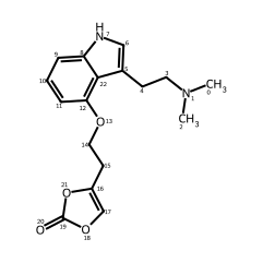 CN(C)CCc1c[nH]c2cccc(OCCc3coc(=O)o3)c12